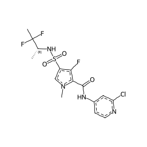 C[C@@H](NS(=O)(=O)c1cn(C)c(C(=O)Nc2ccnc(Cl)c2)c1F)C(C)(F)F